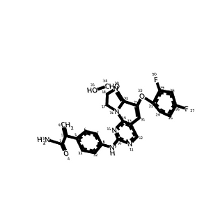 C=C(C(N)=O)c1ccc(Nc2ncc3c(n2)N2CCN=C2C(Oc2ccc(F)cc2F)=C3)cc1.O=CO